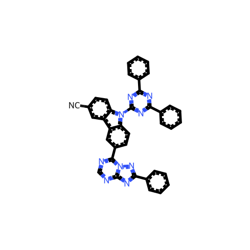 N#Cc1ccc2c(c1)c1cc(-c3ncnc4nc(-c5ccccc5)nn34)ccc1n2-c1nc(-c2ccccc2)nc(-c2ccccc2)n1